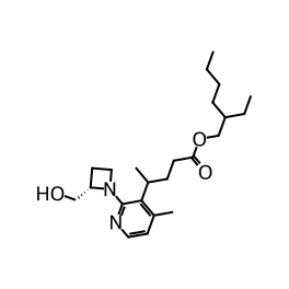 CCCCC(CC)COC(=O)CCC(C)c1c(C)ccnc1N1CC[C@H]1CO